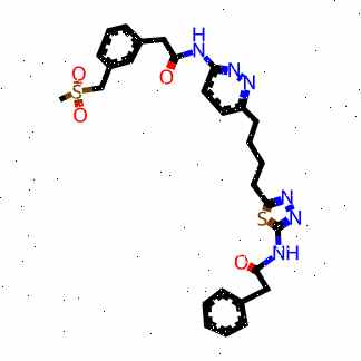 CS(=O)(=O)Cc1cccc(CC(=O)Nc2ccc(CCCCc3nnc(NC(=O)Cc4ccccc4)s3)nn2)c1